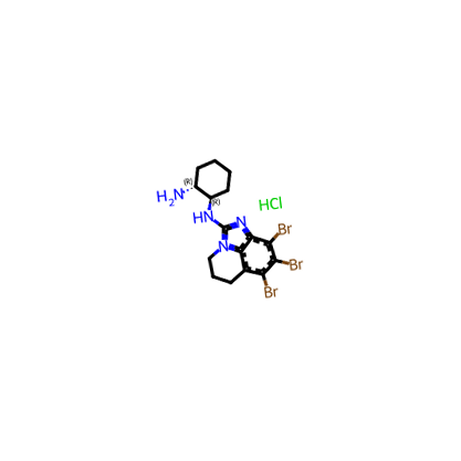 Cl.N[C@@H]1CCCC[C@H]1Nc1nc2c(Br)c(Br)c(Br)c3c2n1CCC3